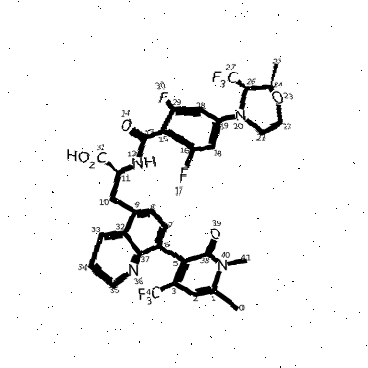 Cc1cc(C(F)(F)F)c(-c2ccc(C[C@H](NC(=O)c3c(F)cc(N4CCO[C@H](C)[C@@H]4C(F)(F)F)cc3F)C(=O)O)c3cccnc23)c(=O)n1C